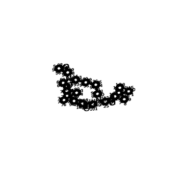 c1ccc(C2(c3ccccc3)c3ccccc3-c3cc4c(cc32)oc2ccc(N(c3ccc(-c5cccc(-c6ccc(-c7ccc(N(c8ccc9oc%10ccccc%10c9c8)c8cccc9c8oc8cc%10c(cc89)-c8ccccc8C%10(c8ccccc8)c8ccccc8)cc7)cc6)c5)cc3)c3ccc5oc6ccccc6c5c3)cc24)cc1